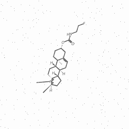 C[C@H]1[C@H]2CC[C@H]3[C@@H]4CC=C5C[C@@H](OC(=O)NCCF)CC[C@]5(C)[C@H]4CC[C@]23CN1C